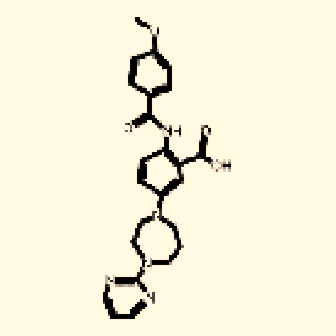 COc1ccc(C(=O)Nc2ccc(N3CCCN(c4ncccn4)CC3)cc2C(=O)O)cc1